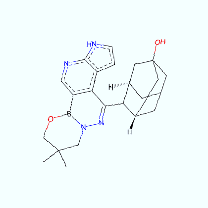 CC1(C)COB2c3cnc4[nH]ccc4c3C(C3[C@@H]4CC5C[C@H]3CC(O)(C5)C4)=NN2C1